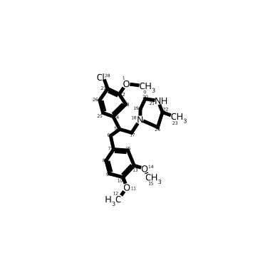 COc1cc(C(Cc2ccc(OC)c(OC)c2)CN2CCNC(C)C2)ccc1Cl